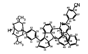 C[C@@H]1C[C@@H]2C[C@H](C)CC(c3ccc(-c4cccc5c4c4cccc(-c6nc(-c7ccccc7)nc(-c7ccc(C#N)cc7)n6)c4n5-c4ccccc4)cc3)(C1)C2